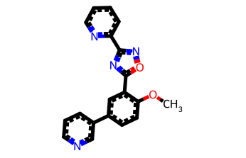 COc1ccc(-c2cccnc2)cc1-c1nc(-c2ccccn2)no1